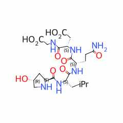 CC(C)C[C@H](NC(=O)[C@@H]1C[C@@H](O)CN1)C(=O)N[C@@H](CCC(N)=O)C(=O)N[C@@H](CC(=O)O)C(=O)NCC(=O)O